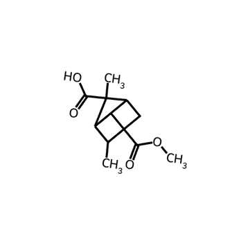 COC(=O)C12CC3C1C(C2C)C3(C)C(=O)O